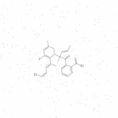 C=C(CC)c1ccccc1C(=C)C(C)(C=CC)C1CC(C)=CC(F)=C1/C(C)=C/C=C\CC